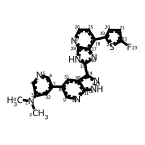 CN(C)c1cncc(-c2cnc3[nH]nc(-c4nc5c(-c6ccc(F)s6)ccnc5[nH]4)c3c2)c1